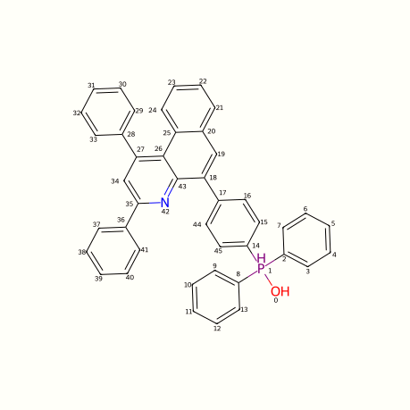 O[PH](c1ccccc1)(c1ccccc1)c1ccc(-c2cc3ccccc3c3c(-c4ccccc4)cc(-c4ccccc4)nc23)cc1